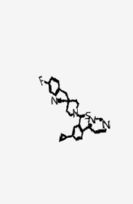 N#CC1(Cc2ccc(F)cc2)CCN(C(=S)c2cc(C3CC3)ccc2-c2ccncn2)CC1